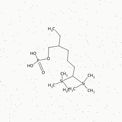 CCC(CCCC([Si](C)(C)C)[Si](C)(C)C)COP(=O)(O)O